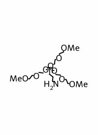 COCCOCC[O][Ti]([CH2]CCN)([O]CCOCCOC)[O]CCOCCOC